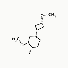 CO[C@H]1CN([C@H]2C[C@H](OC)C2)CC[C@@H]1I